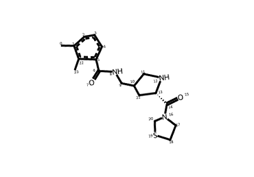 Cc1cccc(C(=O)NCC2CN[C@H](C(=O)N3CCSC3)C2)c1C